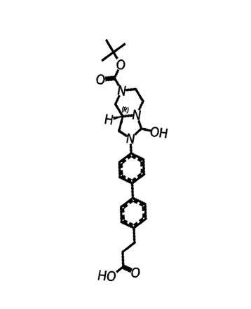 CC(C)(C)OC(=O)N1CCN2C(O)N(c3ccc(-c4ccc(CCC(=O)O)cc4)cc3)C[C@@H]2C1